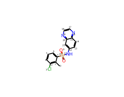 Cc1c(Cl)cccc1S(=O)(=O)Nc1ccc2nccnc2c1